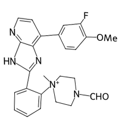 COc1ccc(-c2ccnc3[nH]c(-c4ccccc4[N+]4(C)CCN(C=O)CC4)nc23)cc1F